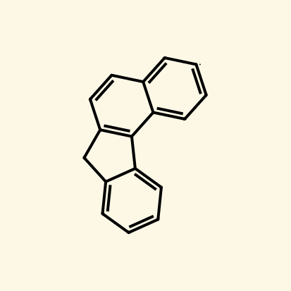 [c]1ccc2c3c(ccc2c1)Cc1ccccc1-3